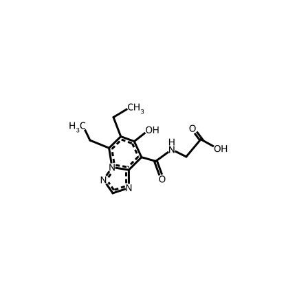 CCc1c(O)c(C(=O)NCC(=O)O)c2ncnn2c1CC